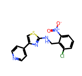 O=[N+]([O-])c1cccc(Cl)c1CNc1nc(-c2ccncc2)cs1